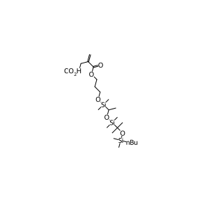 C=C(CC(=O)O)C(=O)OCCCO[Si](C)(C)C(C)O[Si](C)(C)C(C)(C)O[Si](C)(C)CCCC